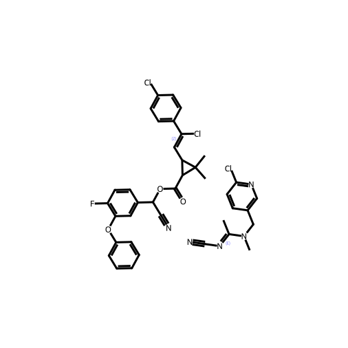 C/C(=N\C#N)N(C)Cc1ccc(Cl)nc1.CC1(C)C(/C=C(\Cl)c2ccc(Cl)cc2)C1C(=O)OC(C#N)c1ccc(F)c(Oc2ccccc2)c1